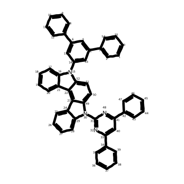 c1ccc(-c2cc(-c3ccccc3)cc(-n3c4ccccc4c4c5c6ccccc6n(-c6nc(-c7ccccc7)cc(-c7ccccc7)n6)c5ccc43)c2)cc1